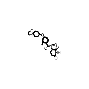 Cc1cc(OC2CCC3(CC2)OCCO3)ccc1C(=O)N(C=O)C1CCC(=O)NC1=O